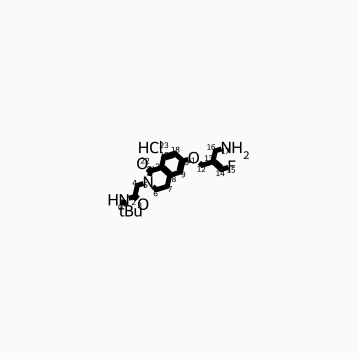 CC(C)(C)NC(=O)CN1CCc2cc(OC/C(=C/F)CN)ccc2C1=O.Cl